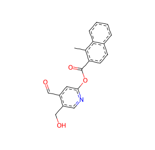 Cc1c(C(=O)Oc2cc(C=O)c(CO)cn2)ccc2ccccc12